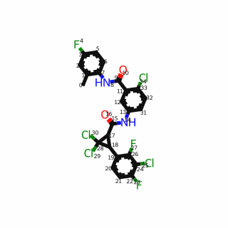 Cc1cc(F)ccc1NC(=O)c1cc(NC(=O)C2C(c3ccc(F)c(Cl)c3F)C2(Cl)Cl)ccc1Cl